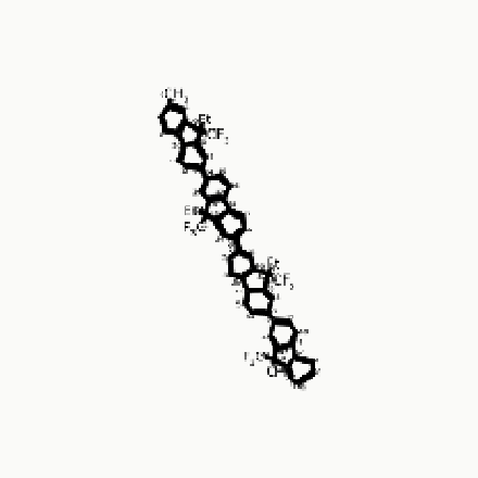 CCC1(C(F)(F)F)c2cc(C)ccc2-c2ccc(-c3ccc4c(c3)C(CC)(C(F)(F)F)c3cc(-c5ccc6c(c5)C(CC)(C(F)(F)F)c5cc(-c7ccc8c(c7)C(C)(C(F)(F)F)c7ccccc7-8)ccc5-6)ccc3-4)cc21